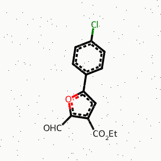 CCOC(=O)c1cc(-c2ccc(Cl)cc2)oc1C=O